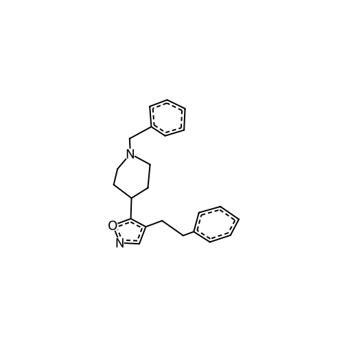 c1ccc(CCc2cnoc2C2CCN(Cc3ccccc3)CC2)cc1